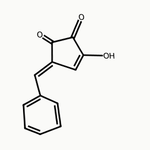 O=C1C(=O)C(=Cc2ccccc2)C=C1O